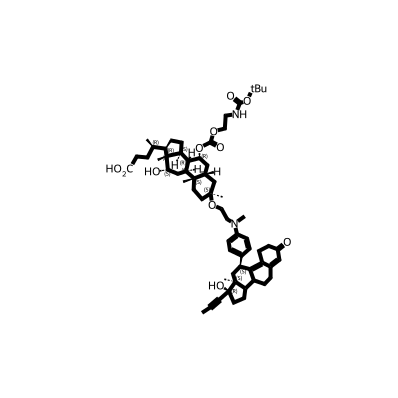 CC#C[C@@]1(O)CCC2C3CCC4=CC(=O)CCC4=C3[C@H](c3ccc(N(C)CCO[C@@]4(C)CC[C@@]5(C)[C@H](C[C@@H](OC(=O)OCCNC(=O)OC(C)(C)C)[C@@H]6[C@@H]5C[C@H](O)[C@]5(C)[C@@H]([C@H](C)CCC(=O)O)CC[C@@H]65)C4)cc3)C[C@@]21C